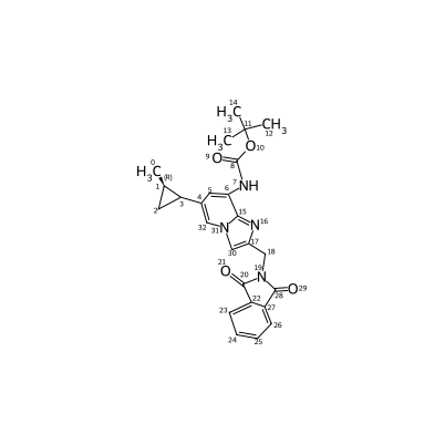 C[C@@H]1CC1c1cc(NC(=O)OC(C)(C)C)c2nc(CN3C(=O)c4ccccc4C3=O)cn2c1